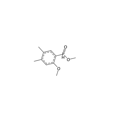 COc1cc(C)c(C)cc1[PH](=O)OC